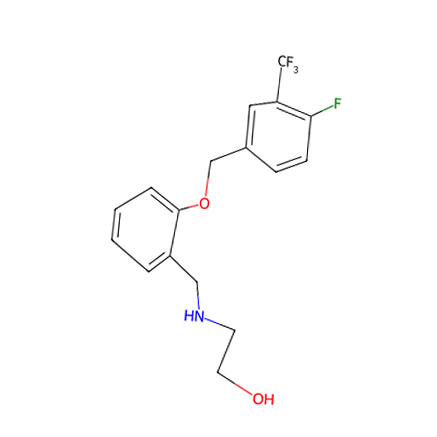 OCCNCc1ccccc1OCc1ccc(F)c(C(F)(F)F)c1